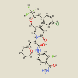 NC(=O)c1ccc(NC(=O)C(C[C@@H]2CCCCO2)n2cc3c(cc2=O)-c2cc(Cl)ccc2CC(C(F)(F)F)OC3)cc1F